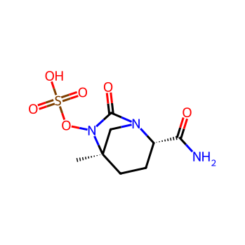 C[C@@]12CC[C@@H](C(N)=O)N(C1)C(=O)N2OS(=O)(=O)O